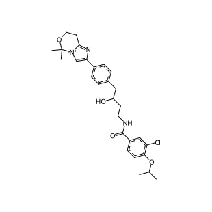 CC(C)Oc1ccc(C(=O)NCCC(O)Cc2ccc(C3=C[N+]4C(=N3)CCOC4(C)C)cc2)cc1Cl